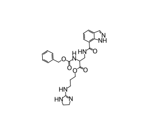 O=C(NC(CNC(=O)c1cccc2cn[nH]c12)C(=O)OCCCNC1=NCCN1)OCc1ccccc1